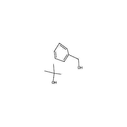 CC(C)(C)O.OCc1ccccc1